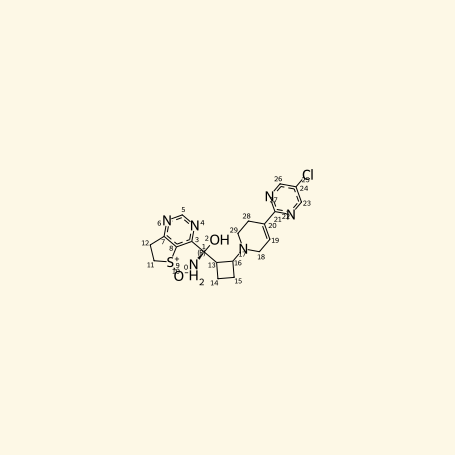 N[C@](O)(c1ncnc2c1[S+]([O-])CC2)C1CCC1N1CC=C(c2ncc(Cl)cn2)CC1